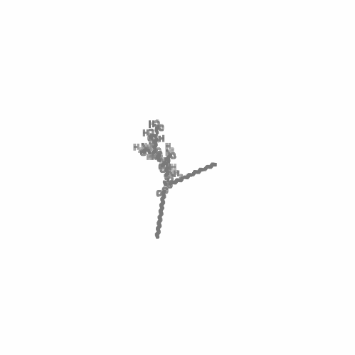 CCCCCCCCCCCCCCCC(=O)OC[C@H](CSCC(N)C(=O)N[C@H](CCC(N)=O)C(=O)NCC(=O)N[C@@H](CCC(N)=O)C(=O)NCC(=O)N[C@H](CCC(=O)O)C(=O)O)OC(=O)CCCCCCCCCCCCCCC